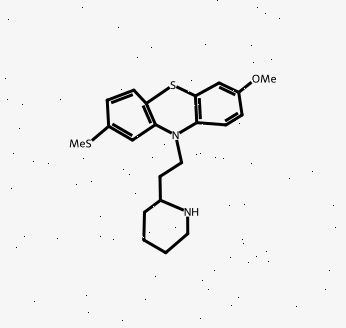 COc1ccc2c(c1)Sc1ccc(SC)cc1N2CCC1CCCCN1